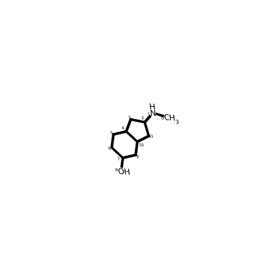 CNC1CC2CCC(O)CC2C1